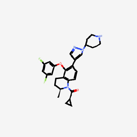 C[C@H]1CCc2c(ccc(-c3cnn(C4CCNCC4)c3)c2Oc2cc(F)cc(F)c2)N1C(=O)C1CC1